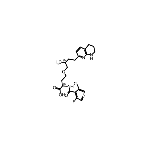 C[C@@H](CCc1ccc2c(n1)NCCC2)COCC[C@@H](NC(=O)c1c(F)cncc1Cl)C(=O)O